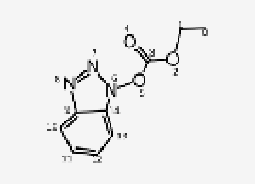 CCOC(=O)On1nnc2ccccc21